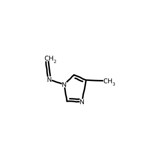 C=Nn1cnc(C)c1